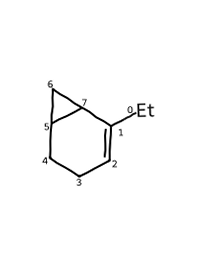 [CH2]CC1=CCCC2CC12